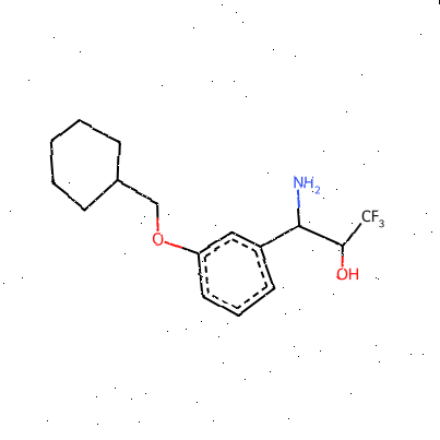 NC(c1cccc(OCC2CCCCC2)c1)C(O)C(F)(F)F